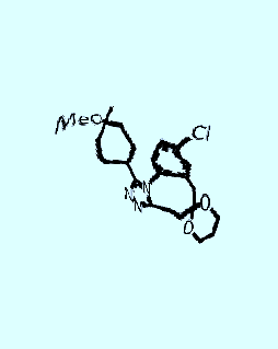 COC1(C)CCC(c2nnc3n2-c2ccc(Cl)cc2CC2(C3)OCCCO2)CC1